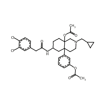 CC(=O)Oc1cccc(C23CCN(CC4CC4)CC2(OC(C)=O)CCC(NC(=O)Cc2ccc(Cl)c(Cl)c2)C3)c1